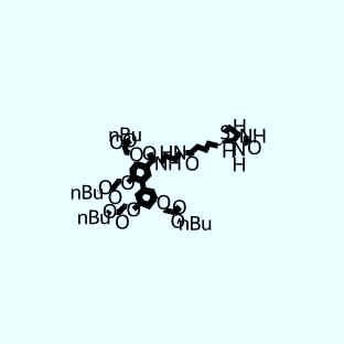 CCCCOC(=O)COc1cc(OCC(=O)OCCCC)cc(-c2cc(C(=O)NCCNC(=O)CCCC[C@@H]3SC[C@@H]4NC(=O)N[C@@H]43)c(OCC(=O)OCCCC)cc2OCC(=O)OCCCC)c1